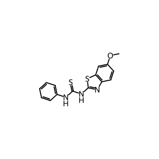 COc1ccc2nc(NC(=S)Nc3ccccc3)sc2c1